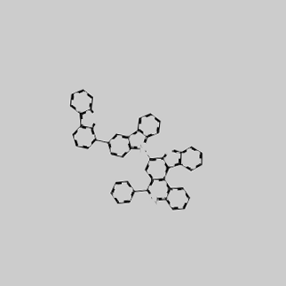 c1ccc(-c2nc3ccccc3c3c2cc(-n2c4ccccc4c4cc(-c5cccc6c5oc5ccccc56)ccc42)c2sc4ccccc4c23)cc1